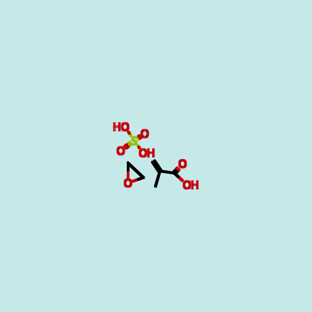 C1CO1.C=C(C)C(=O)O.O=S(=O)(O)O